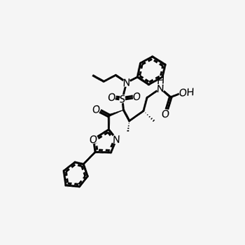 CCCN(c1ccccc1)S(=O)(=O)[C@H](C(=O)c1ncc(-c2ccccc2)o1)[C@@H](C)[C@@H](C)CNC(=O)O